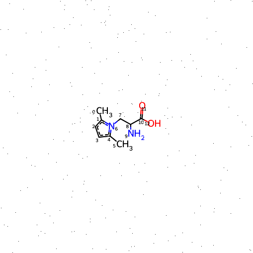 Cc1ccc(C)n1CC(N)C(=O)O